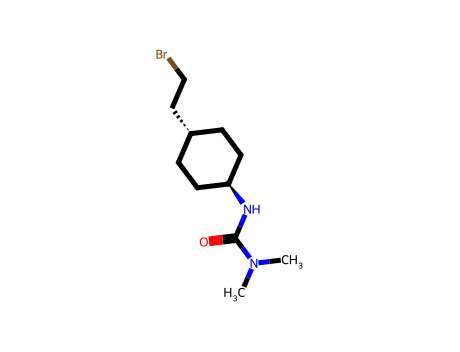 CN(C)C(=O)N[C@H]1CC[C@H](CCBr)CC1